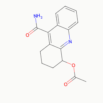 CC(=O)OC1CCCc2c1nc1ccccc1c2C(N)=O